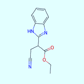 CCOC(=O)C(CC#N)c1nc2ccccc2[nH]1